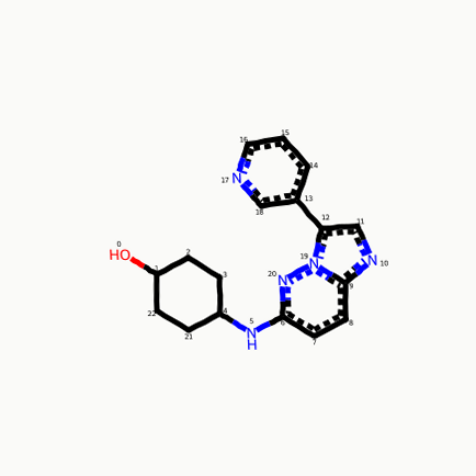 OC1CCC(Nc2ccc3ncc(-c4cccnc4)n3n2)CC1